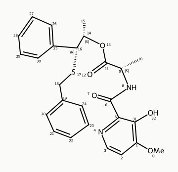 COc1ccnc(C(=O)N[C@@H](C)C(=O)O[C@@H](C)[C@H](SCc2ccccc2)c2ccccc2)c1O